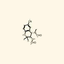 CN(C=O)[C@H]1c2cc(C#N)ccc2OC(C)(C)[C@@H]1OC=O